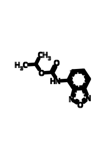 CC(C)OC(=O)Nc1[c]ccc2nonc12